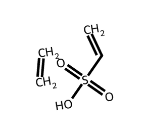 C=C.C=CS(=O)(=O)O